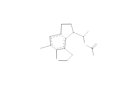 CCCC(=O)NC(C)C1CCc2cc(F)c3c(c21)CCO3